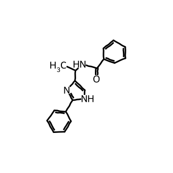 CC(NC(=O)c1ccccc1)c1c[nH]c(-c2ccccc2)n1